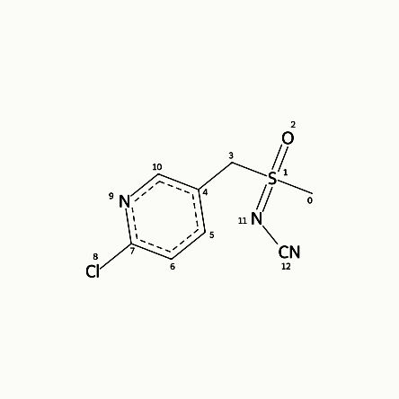 CS(=O)(Cc1ccc(Cl)nc1)=NC#N